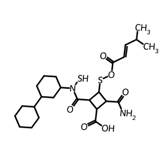 CC(C)/C=C/C(=O)OSC1C(C(N)=O)C(C(=O)O)C1C(=O)N(S)C1CCCC(C2CCCCC2)C1